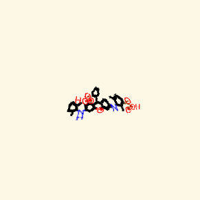 Cc1ccc(S(=O)(=O)O)c(C)c1/N=c1\ccc2c(-c3ccccc3S(=O)(=O)O)c3ccc(Nc4c(C)cccc4C)cc3oc-2c1